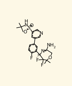 CC(C)(C)NS(=O)(=O)c1cncc(-c2ccc(F)c([C@@]3(C)N=C(N)COC(C)(C)C3(F)F)c2)c1